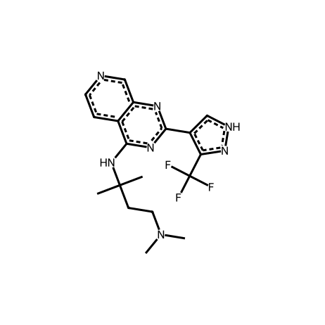 CN(C)CCC(C)(C)Nc1nc(-c2c[nH]nc2C(F)(F)F)nc2cnccc12